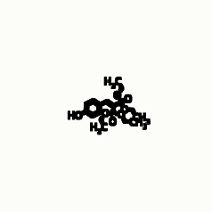 CCOP(=O)(OCC)C(=Cc1ccc(O)cc1)P(=O)(OCC)OCC